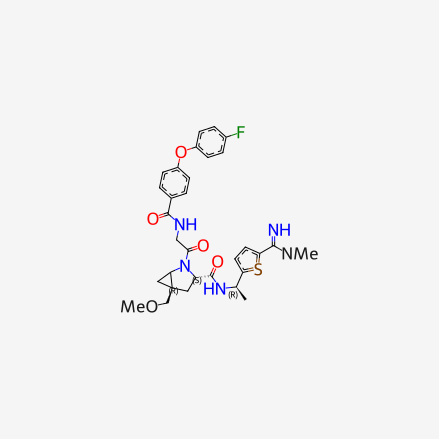 CNC(=N)c1ccc([C@@H](C)NC(=O)[C@@H]2C[C@]3(COC)CC3N2C(=O)CNC(=O)c2ccc(Oc3ccc(F)cc3)cc2)s1